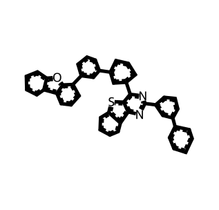 c1ccc(-c2cccc(-c3nc(-c4cccc(-c5cccc(-c6cccc7c6oc6ccccc67)c5)c4)c4sc5ccccc5c4n3)c2)cc1